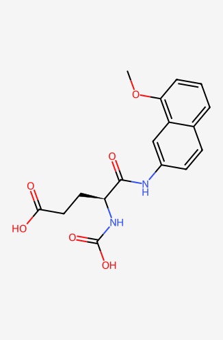 COc1cccc2ccc(NC(=O)[C@H](CCC(=O)O)NC(=O)O)cc12